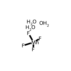 O.O.O.[F][Mn]([F])([F])[F]